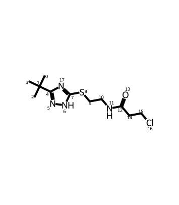 CC(C)(C)c1n[nH]c(SCCNC(=O)CCCl)n1